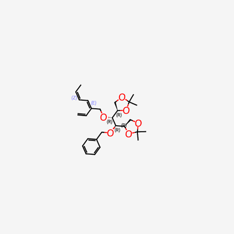 C=C/C(=C\C=C/C)CO[C@@H]([C@H](OCc1ccccc1)[C@H]1COC(C)(C)O1)[C@H]1COC(C)(C)O1